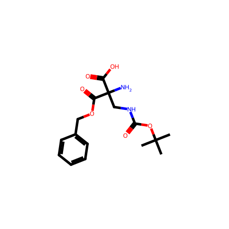 CC(C)(C)OC(=O)NCC(N)(C(=O)O)C(=O)OCc1ccccc1